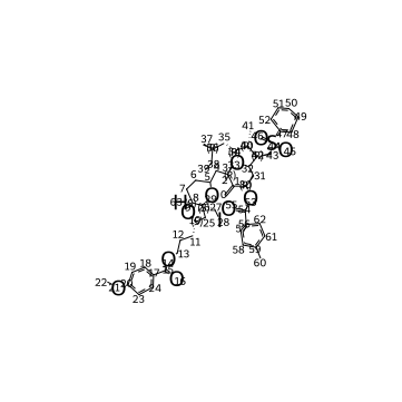 C=C([C@H](C)CC1CC[C@@H]2O[C@@H](CCCOC(=O)c3ccc(OC)cc3)C[C@]2(CI)O1)[C@@H](CC1O[C@H](C[C@H](C)CC)[C@H](C)[C@H]1CS(=O)(=O)c1ccccc1)OC(=O)c1ccc(C)cc1